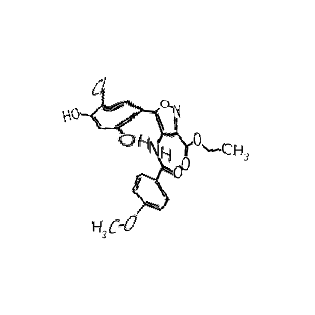 CCOC(=O)c1noc(-c2cc(Cl)c(O)cc2O)c1NC(=O)c1ccc(OC)cc1